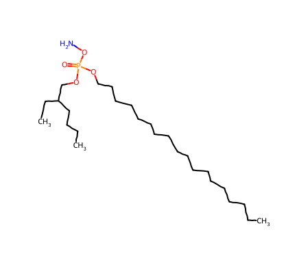 CCCCCCCCCCCCCCCCCCOP(=O)(ON)OCC(CC)CCCC